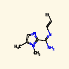 CC/C=C/N=C(/N)c1ncc(C)n1C